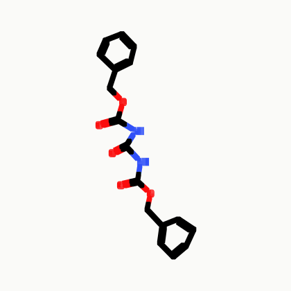 O=C(NC(=O)OCc1ccccc1)NC(=O)OCc1ccccc1